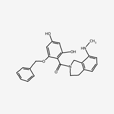 CNc1cccc2c1CN(C(=O)c1c(O)cc(O)cc1OCc1ccccc1)CC2